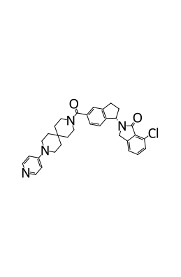 O=C(c1ccc2c(c1)CC[C@@H]2N1Cc2cccc(Cl)c2C1=O)N1CCC2(CC1)CCN(c1ccncc1)CC2